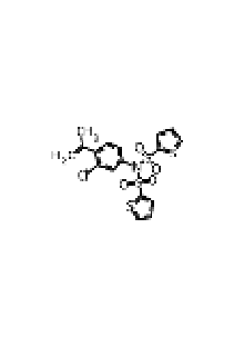 C=C(C)c1ccc(N(S(=O)(=O)c2cccs2)S(=O)(=O)c2cccs2)cc1Cl